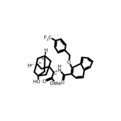 COC(=O)[C@@H](NC(=O)c1ccc2ccccc2c1OCc1ccc(C(F)(F)F)cc1)C12C[C@@H]3C[C@@H](CC(O)(C3)C1)C2